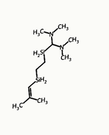 CC(C)=C[SiH2]CC[SiH2]C(N(C)C)N(C)C